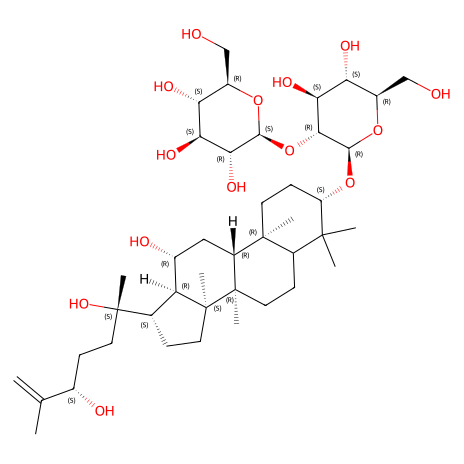 C=C(C)[C@@H](O)CC[C@](C)(O)[C@H]1CC[C@@]2(C)[C@@H]1[C@H](O)C[C@@H]1[C@@]3(C)CC[C@H](O[C@@H]4O[C@H](CO)[C@@H](O)[C@H](O)[C@H]4O[C@@H]4O[C@H](CO)[C@@H](O)[C@H](O)[C@H]4O)C(C)(C)C3CC[C@]12C